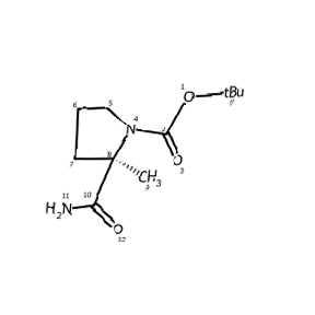 CC(C)(C)OC(=O)N1CCC[C@]1(C)C(N)=O